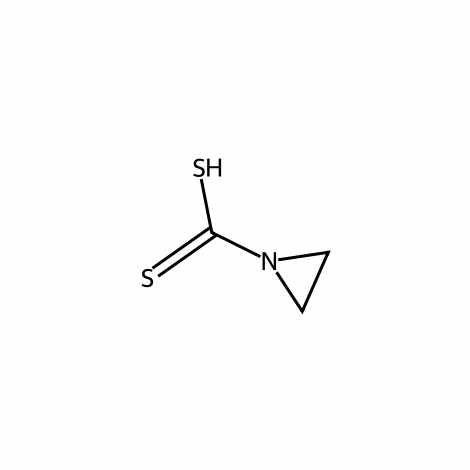 S=C(S)N1CC1